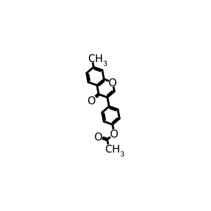 CC(=O)Oc1ccc(-c2coc3cc(C)ccc3c2=O)cc1